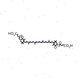 CC1=C(/C=C/C(C)=C/C=C/C(C)=C/C=C/C=C(C)/C=C/C=C(C)/C=C/C2=C(C)C(=O)C(OC(=O)CCC(=O)O)CC2(C)C)C(C)(C)CC(CC(=O)CCC(=O)O)C1=O